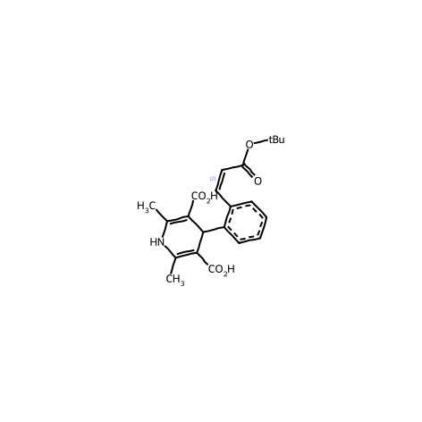 CC1=C(C(=O)O)C(c2ccccc2/C=C\C(=O)OC(C)(C)C)C(C(=O)O)=C(C)N1